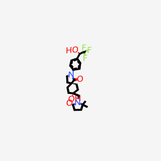 CC1(C)CCC(=O)N1C[C@]1(O)CC[C@]2(CCN(c3ccc([C@@H](O)C(F)(F)F)cc3)C2=O)CC1